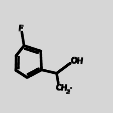 [CH2]C(O)c1cccc(F)c1